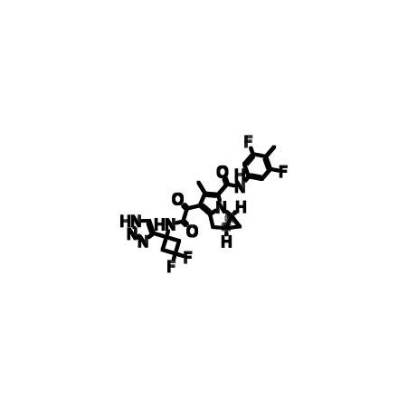 Cc1c(F)cc(NC(=O)c2c(C)c(C(=O)C(=O)NC3(c4c[nH]nn4)CC(F)(F)C3)c3n2[C@@H]2C[C@@H]2C3)cc1F